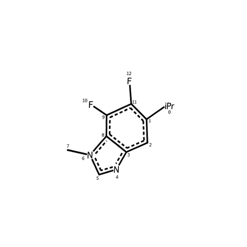 CC(C)c1cc2ncn(C)c2c(F)c1F